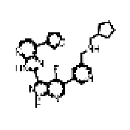 Fc1c(-c2cncc(CNCC3CCCC3)c2)cnc2[nH]nc(-c3nc4c(-c5ccoc5)ccnc4[nH]3)c12